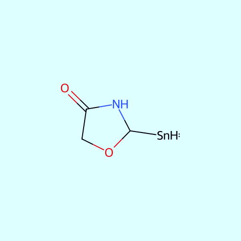 O=C1CO[CH]([SnH])N1